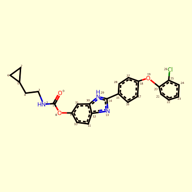 O=C(NCCC1CC1)Oc1ccc2nc(-c3ccc(Oc4ccccc4Cl)cc3)[nH]c2c1